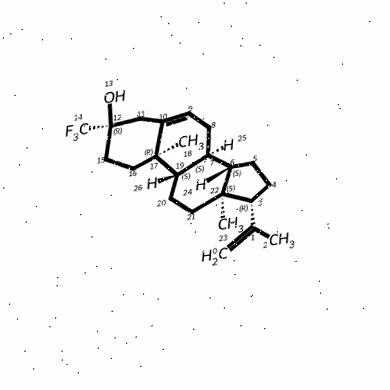 C=C(C)[C@H]1CC[C@H]2[C@@H]3CC=C4C[C@@](O)(C(F)(F)F)CC[C@]4(C)[C@H]3CC[C@]12C